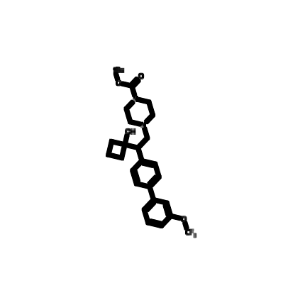 CC(C)(C)OC(=O)N1CCN(CC(c2ccc(-c3cccc(OC(F)(F)F)c3)cc2)C2(O)CCC2)CC1